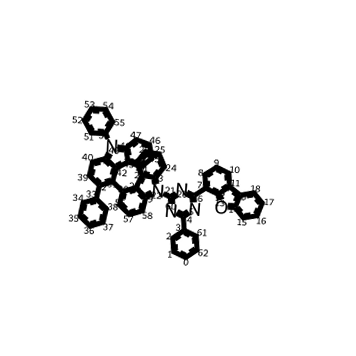 c1ccc(-c2nc(-c3cccc4c3oc3ccccc34)nc(-n3c4ccccc4c4c(-c5c(-c6ccccc6)ccc6c5c5ccccc5n6-c5ccccc5)cccc43)n2)cc1